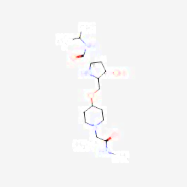 CNC(=O)[C@H](C)N1CCC(OCC2N[C@H](C(=O)NC(C)C)C[C@@H]2O)CC1